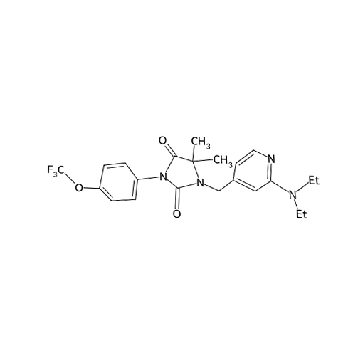 CCN(CC)c1cc(CN2C(=O)N(c3ccc(OC(F)(F)F)cc3)C(=O)C2(C)C)ccn1